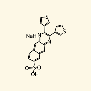 O=S(=O)(O)c1ccc2cc3nc(-c4ccsc4)c(-c4ccsc4)nc3cc2c1.[NaH]